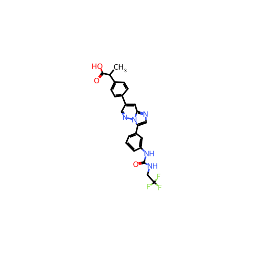 CC(C(=O)O)c1ccc(-c2cnn3c(-c4cccc(NC(=O)NCC(F)(F)F)c4)cnc3c2)cc1